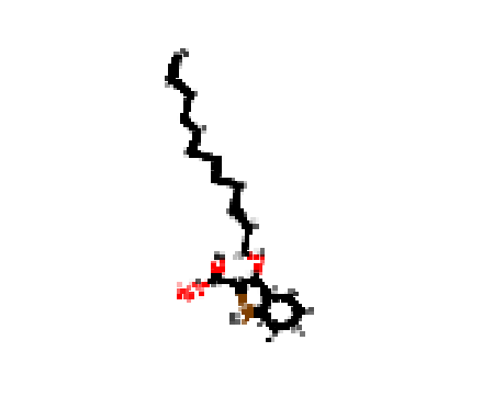 CCCCCCCCCCCCOc1c(C(=O)O)sc2ccccc12